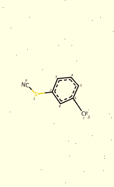 N#CSc1cccc(C(F)(F)F)c1